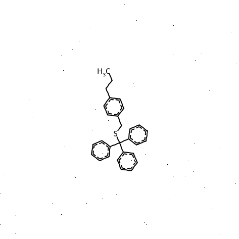 CCCc1ccc(CSC(c2ccccc2)(c2ccccc2)c2ccccc2)cc1